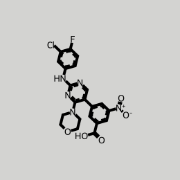 O=C(O)c1cc(-c2cnc(Nc3ccc(F)c(Cl)c3)nc2N2CCOCC2)cc([N+](=O)[O-])c1